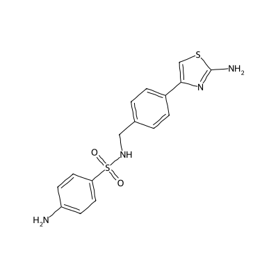 Nc1ccc(S(=O)(=O)NCc2ccc(-c3csc(N)n3)cc2)cc1